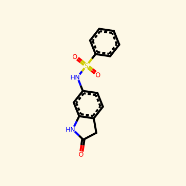 O=C1Cc2ccc(NS(=O)(=O)c3ccccc3)cc2N1